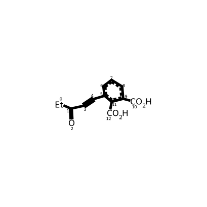 CCC(=O)C#Cc1cccc(C(=O)O)c1C(=O)O